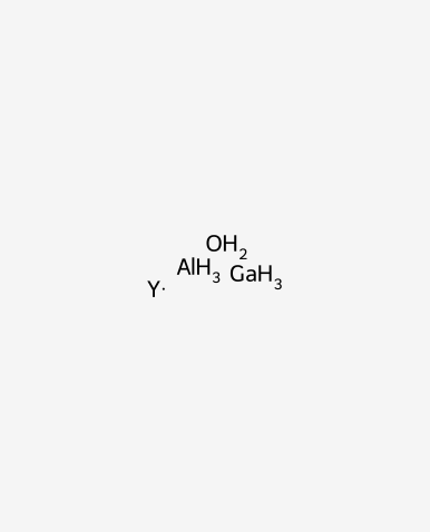 O.[AlH3].[GaH3].[Y]